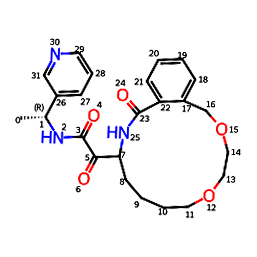 C[C@@H](NC(=O)C(=O)C1CCCCOCCOCc2ccccc2C(=O)N1)c1cccnc1